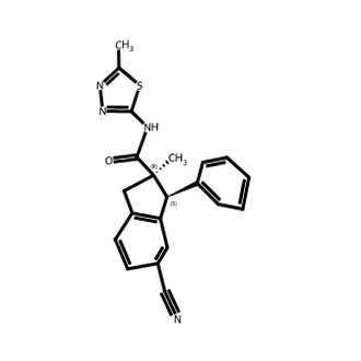 Cc1nnc(NC(=O)[C@]2(C)Cc3ccc(C#N)cc3[C@@H]2c2ccccc2)s1